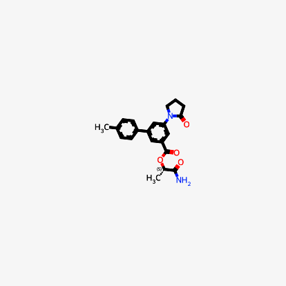 Cc1ccc(-c2cc(C(=O)O[C@@H](C)C(N)=O)cc(N3CCCC3=O)c2)cc1